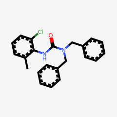 Cc1cccc(Cl)c1NC(=O)N(Cc1ccccc1)Cc1ccccc1